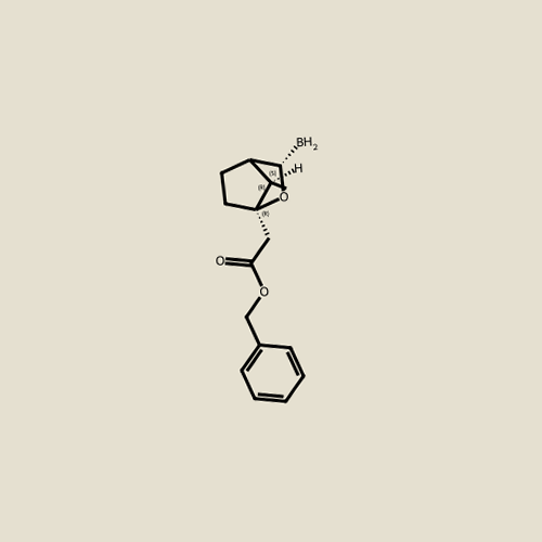 B[C@@H]1O[C@@]2(CC(=O)OCc3ccccc3)CCC1[C@H]2C